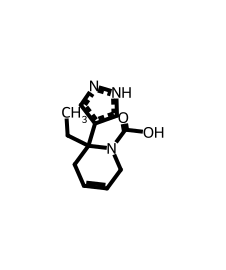 CCC1(c2cn[nH]c2)CC=CCN1C(=O)O